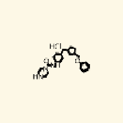 Cl.O=C(Nc1ccc(CC2CCC(COc3ccccc3)C2)cc1)N1CCNCC1